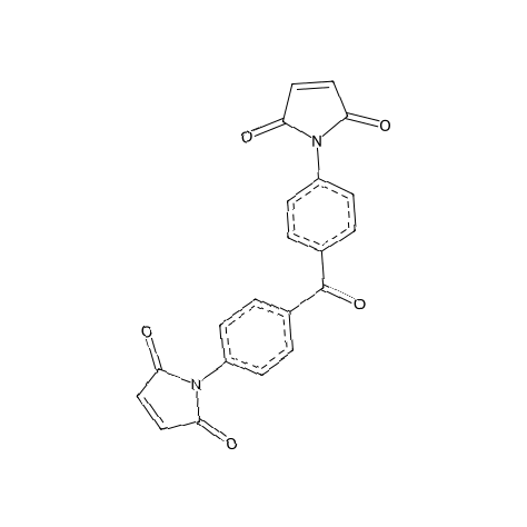 O=C(c1ccc(N2C(=O)C=CC2=O)cc1)c1ccc(N2C(=O)C=CC2=O)cc1